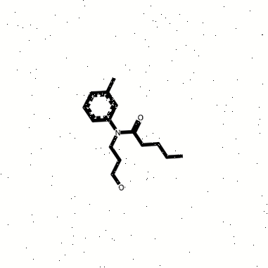 CCCCC(=O)N(CCC[O])c1cccc(C)c1